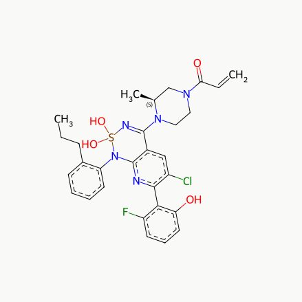 C=CC(=O)N1CCN(C2=NS(O)(O)N(c3ccccc3CCC)c3nc(-c4c(O)cccc4F)c(Cl)cc32)[C@@H](C)C1